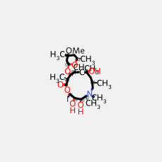 CO[C@]1(C)C[C@H](O[C@H]2[C@H](C)C[C@](C)(O)C[C@@H](C)CN(C)[C@H](C)[C@@H](O)[C@H](O)[C@@H](I)OC(=O)[C@@H]2C)O[C@@H](C)C1